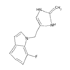 C=C1NC=C(Cn2ccc3cccc(F)c32)N1